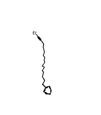 [CH2]CC#CCCCCCCCCCCCCCCc1ccccc1